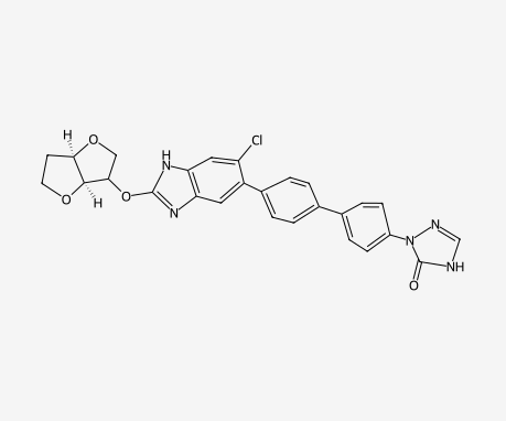 O=c1[nH]cnn1-c1ccc(-c2ccc(-c3cc4nc(OC5CO[C@@H]6CCO[C@H]56)[nH]c4cc3Cl)cc2)cc1